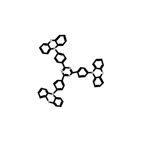 c1ccc2c(c1)Oc1ccccc1N2c1ccc(-c2nc(-c3ccc(N4c5ccccc5Sc5ccccc54)cc3)nc(-c3ccc(N4c5ccccc5Sc5ccccc54)cc3)n2)cc1